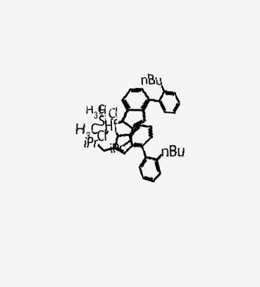 CCCCc1ccccc1-c1cccc2c1C=C(CC(C)C)[CH]2[Hf]([Cl])([Cl])([CH]1C(CC(C)C)=Cc2c(-c3ccccc3CCCC)cccc21)[SiH](C)C